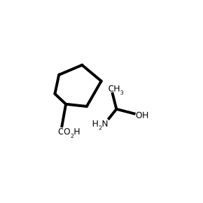 CC(N)O.O=C(O)C1CCCCC1